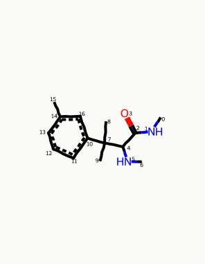 CNC(=O)C(NC)C(C)(C)c1cccc(C)c1